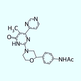 CC(=O)Nc1ccc(C2CN(c3nc(-c4ccncn4)c(C)c(=O)[nH]3)CCO2)cc1